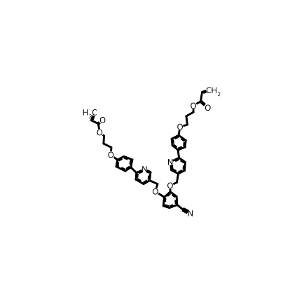 C=CC(=O)OCCCOc1ccc(-c2ccc(COc3ccc(C#N)cc3OCc3ccc(-c4ccc(OCCCOC(=O)C=C)cc4)nc3)cn2)cc1